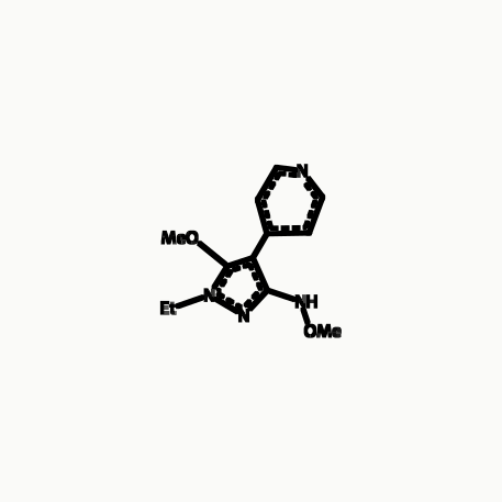 CCn1nc(NOC)c(-c2ccncc2)c1OC